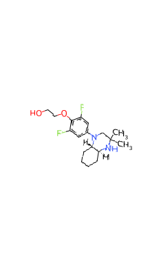 CC1(C)CN(c2cc(F)c(OCCO)c(F)c2)[C@H]2CCCC[C@@H]2N1